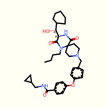 CCCCN1C(=O)[C@@H]([C@H](O)C2CCCCC2)NC(=O)C12CCN(Cc1ccc(Oc3ccc(C(=O)NCC4CC4)cc3)cc1)CC2